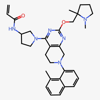 C=CC(=O)NC1CCN(c2nc(OCC3(C)CCCN3C)nc3c2CCN(c2cccc4cccc(C)c24)C3)C1